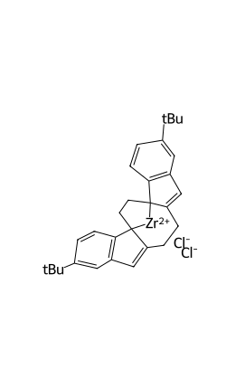 CC(C)(C)c1ccc2c(c1)C=C1CCC3=Cc4cc(C(C)(C)C)ccc4[C]34CC[C]12[Zr+2]4.[Cl-].[Cl-]